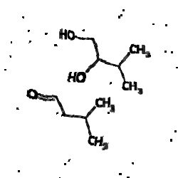 CC(C)C(O)CO.CC(C)CC=O